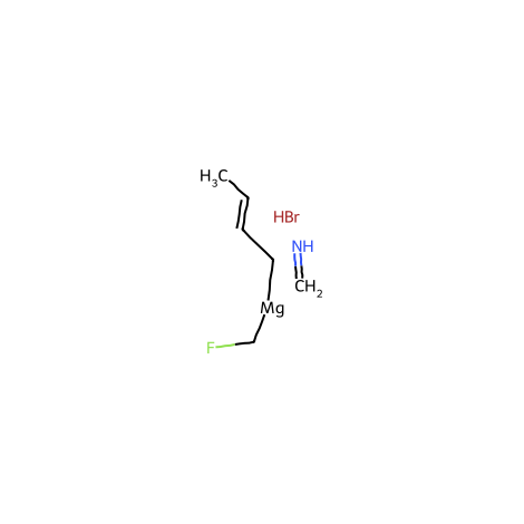 Br.C=N.CC=C[CH2][Mg][CH2]F